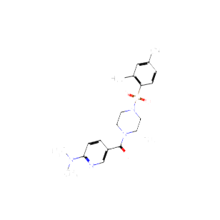 Cc1cc(C#N)ccc1S(=O)(=O)N1CCN(C(=O)c2ccc(N(C)C)nc2)[C@@H](C)C1